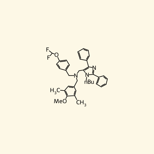 CCCCn1c(-c2ccccc2)nc(-c2ccccc2)c1CN(Cc1ccc(OC(F)F)cc1)Cc1cc(C)c(OC)c(C)c1